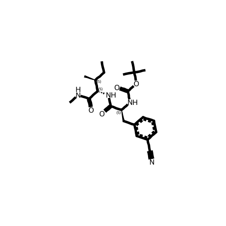 CC[C@H](C)[C@H](NC(=O)[C@H](Cc1cccc(C#N)c1)NC(=O)OC(C)(C)C)C(=O)NC